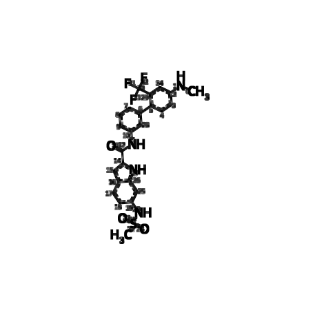 CNc1ccc(-c2cccc(NC(=O)c3cc4ccc(NS(C)(=O)=O)cc4[nH]3)c2)c(C(F)(F)F)c1